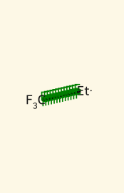 C[CH]C(F)(F)C(F)(F)C(F)(F)C(F)(F)C(F)(F)C(F)(F)C(F)(F)C(F)(F)C(F)(F)C(F)(F)C(F)(F)C(F)(F)C(F)(F)C(F)(F)F